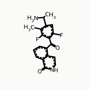 Cc1c(C(C)N)cc(F)c(C(=O)c2cccc3c(=O)[nH]ccc23)c1F